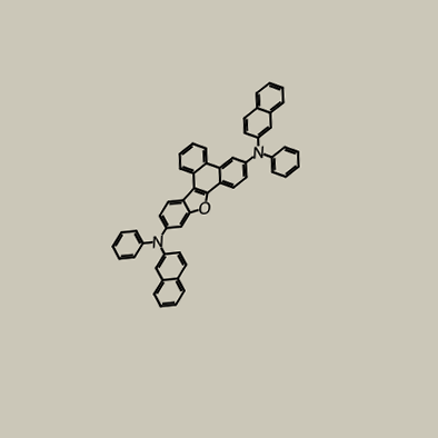 c1ccc(N(c2ccc3ccccc3c2)c2ccc3c(c2)oc2c4ccc(N(c5ccccc5)c5ccc6ccccc6c5)cc4c4ccccc4c32)cc1